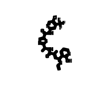 C=C/N=C(\C=C(/C)C(=O)NC(C)c1ncc(C(=O)Nc2cc(C(F)(F)F)c(Cl)cn2)s1)c1cccnc1O